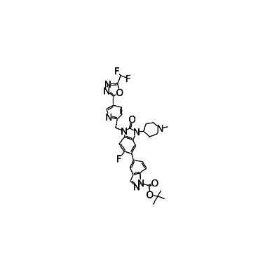 CN1CCC(n2c(=O)n(Cc3ccc(-c4nnc(C(F)F)o4)cn3)c3cc(F)c(-c4ccc5c(cnn5C(=O)OC(C)(C)C)c4)cc32)CC1